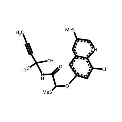 CC#CC(C)(C)NC(=O)C(Oc1cc(Cl)c2ncc(SC)cc2c1)SC